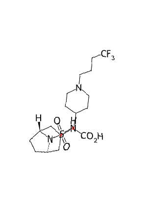 O=C(O)NC1CC2CC[C@H](C1)N2S(=O)(=O)CC1CCN(CCCC(F)(F)F)CC1